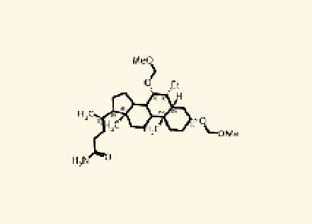 CC[C@H]1[C@@H](OCOC)C2C3CC[C@H]([C@H](C)CCC(N)=O)[C@@]3(C)CCC2[C@@]2(C)CC[C@@H](OCOC)C[C@@H]12